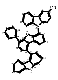 N#Cc1ccc2c(c1)c1ccccc1n2-c1cccc2c1oc1c(-c3ccccc3)ccc(-c3cccc4sc5ccccc5c34)c12